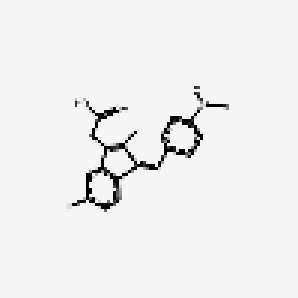 CC1=C(CC(O)=[Se])c2cc(F)ccc2C1=Cc1ccc([S+](C)[O-])cc1